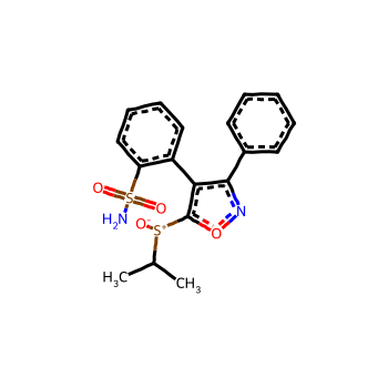 CC(C)[S+]([O-])c1onc(-c2ccccc2)c1-c1ccccc1S(N)(=O)=O